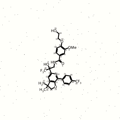 COc1cc(C(=O)NCC(O)(c2cc3c(c(-c4ccc(C(F)(F)F)cc4)n2)OCC3(C)N)C(F)(F)F)ccc1OCCO